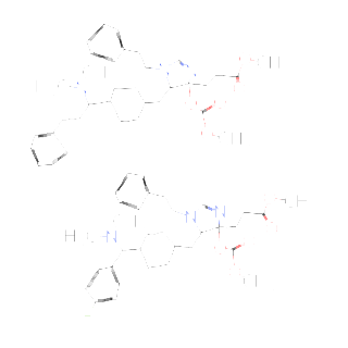 COC(=O)CCC1(OC(=O)OC)N=CN(CCc2ccccc2)C1CC1CCC(C(CCc2ccccc2)N(C)C)CC1.COC(=O)CCC1(OC(=O)OC)N=CN(CCc2ccccc2)C1CC1CCC(C(c2ccc(F)cc2)N(C)C)CC1